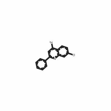 [2H]c1cc(-c2ccccc2)nc2cc(Cl)ccc12